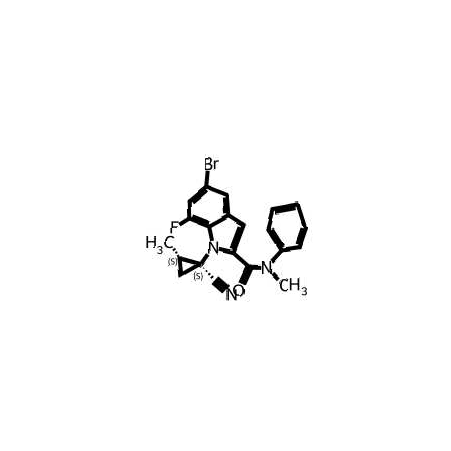 C[C@H]1C[C@]1(C#N)n1c(C(=O)N(C)c2ccccc2)cc2cc(Br)cc(F)c21